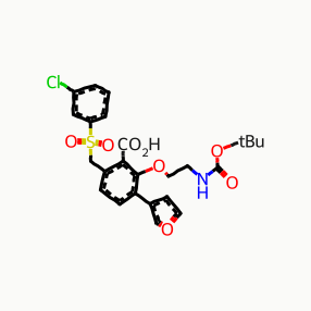 CC(C)(C)OC(=O)NCCOc1c(-c2ccoc2)ccc(CS(=O)(=O)c2cccc(Cl)c2)c1C(=O)O